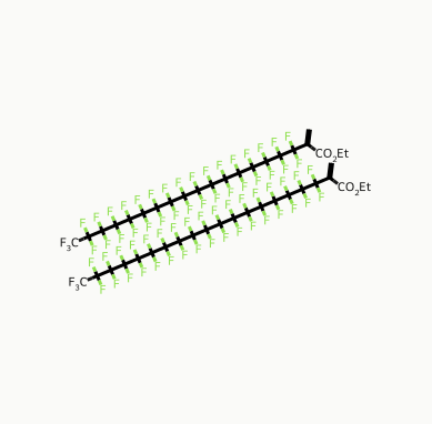 C=C(C(=O)OCC)C(F)(F)C(F)(F)C(F)(F)C(F)(F)C(F)(F)C(F)(F)C(F)(F)C(F)(F)C(F)(F)C(F)(F)C(F)(F)C(F)(F)C(F)(F)C(F)(F)C(F)(F)C(F)(F)C(F)(F)C(F)(F)F.C=C(C(=O)OCC)C(F)(F)C(F)(F)C(F)(F)C(F)(F)C(F)(F)C(F)(F)C(F)(F)C(F)(F)C(F)(F)C(F)(F)C(F)(F)C(F)(F)C(F)(F)C(F)(F)C(F)(F)C(F)(F)C(F)(F)F